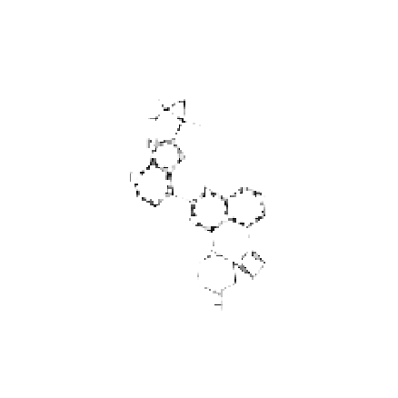 CC1(c2cc3c(-c4nc(N5CCNCC5)c5c(C6=CC=C6)cncc5n4)ccnc3[nH]2)CC1(F)F